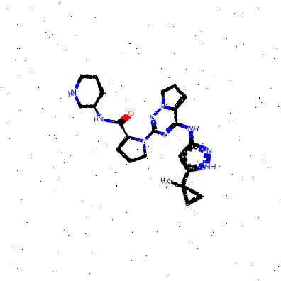 CC1(c2cc(NC3=NC(N4CCC[C@H]4C(=O)N[C@@H]4CCCNC4)=NN4CCC=C34)n[nH]2)CC1